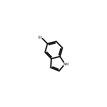 CCc1ccc2[nH]c[c]c2c1